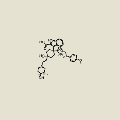 COc1ccc(CCOc2cccc3[nH]c(C(=O)O)c(C4(C(N)=O)CCC(O)(CCN5CC[C@H](O)[C@@H](C)C5)CC4)c23)cc1